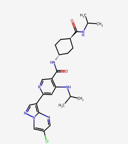 CC(C)Nc1cc(-c2cnn3cc(Cl)cnc23)ncc1C(=O)N[C@H]1CC[C@H](C(=O)NC(C)C)CC1